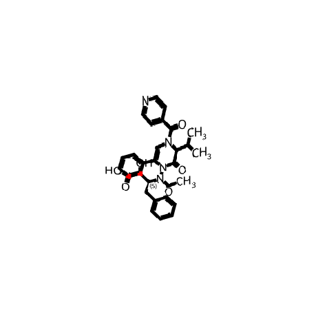 CC(=O)N([C@@H](Cc1ccccc1)C(O)C(=O)O)N1C(=O)C(C(C)C)N(C(=O)c2ccncc2)C=C1c1ccccc1